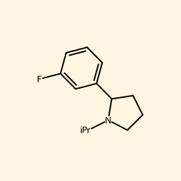 CC(C)N1CCCC1c1cccc(F)c1